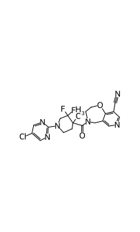 CC1(C(=O)N2CCOc3c(C#N)cncc3C2)CCN(c2ncc(Cl)cn2)CC1(F)F